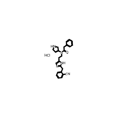 Cl.N#Cc1ccccc1Cc1ncc(CCN(C(=O)Cc2ccccc2)C2CCNC2)[nH]1